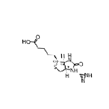 C1=NN1.O=C(O)CCCC[C@@H]1SC[C@@H]2NC(=O)N[C@@H]21